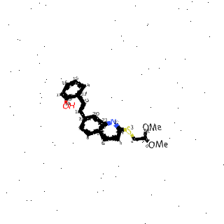 COC(CSc1ccc2ccc(C=Cc3ccccc3O)cc2n1)OC